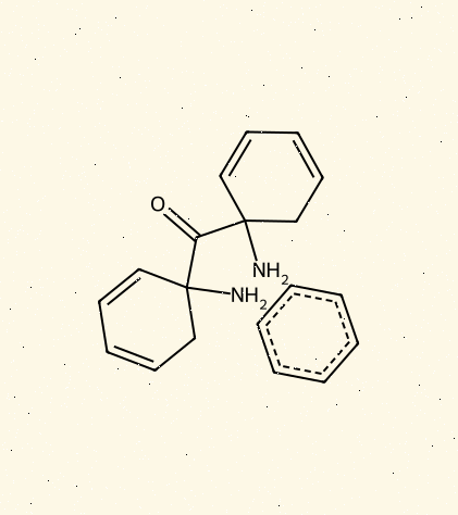 NC1(C(=O)C2(N)C=CC=CC2)C=CC=CC1.c1ccccc1